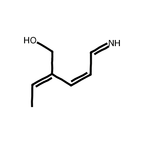 C/C=C(\C=C/C=N)CO